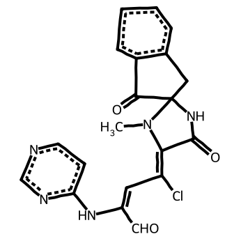 CN1/C(=C(Cl)\C=C(/C=O)Nc2ccncn2)C(=O)NC12Cc1ccccc1C2=O